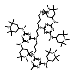 CNCCCN(CCN(CCCNc1nc(C)nc(N(C)C2CC(C)(C)N(C)C(C)(C)C2)n1)c1nc(N(C)C2CC(C)(C)N(C)C(C)(C)C2)nc(N(C)C2CC(C)(C)N(C)C(C)(C)C2)n1)c1nc(N(C)C2CC(C)(C)N(C)C(C)(C)C2)nc(N(C)C2CC(C)(C)N(C)C(C)(C)C2)n1